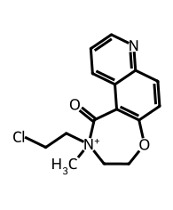 C[N+]1(CCCl)CCOc2ccc3ncccc3c2C1=O